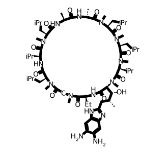 CC[C@@H]1NC(=O)[C@H]([C@H](O)[C@H](C)Cc2nc3cc(N)c(N)cc3[nH]2)N(C)C(=O)[C@H](C(C)C)N(C)C(=O)[C@H](CC(C)C)N(C)C(=O)[C@H](CC(C)C)N(C)C(=O)[C@@H](C)NC(=O)[C@H](C)NC(=O)[C@H](CC(C)C)N(C)C(=O)[C@H](C(C)C)NC(=O)[C@H](CC(C)C)N(C)C(=O)CN(C)C1=O